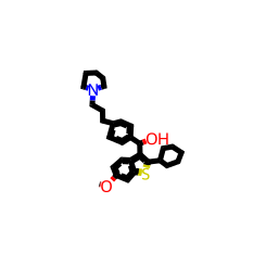 COc1ccc2c(C(O)c3ccc(CCCN4CCCCC4)cc3)c(C3CCCCC3)sc2c1